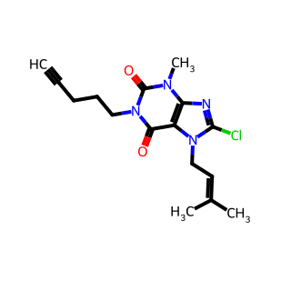 C#CCCCn1c(=O)c2c(nc(Cl)n2CC=C(C)C)n(C)c1=O